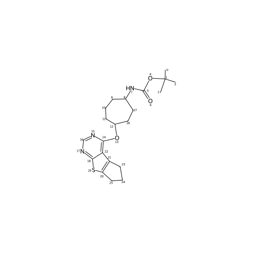 CC(C)(C)OC(=O)NC1CCCC(Oc2ncnc3sc4c(c23)CCC4)CC1